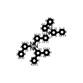 c1ccc(-c2ccc(N(c3cccc(-c4cccc(-c5nc(-c6cccc(-c7ccccc7)c6)nc(-c6cc(-c7ccccc7)cc(-c7ccccc7)c6)n5)c4)c3)c3cccc4c3oc3ccccc34)cc2)cc1